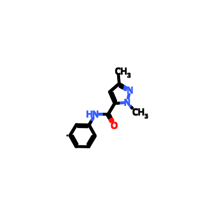 Cc1cc(C(=O)Nc2c[c]ccc2)n(C)n1